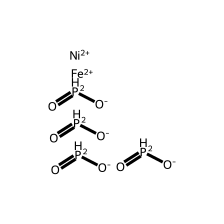 O=[PH2][O-].O=[PH2][O-].O=[PH2][O-].O=[PH2][O-].[Fe+2].[Ni+2]